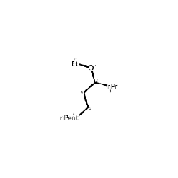 [CH2]COC(CCC)CCCCCCC